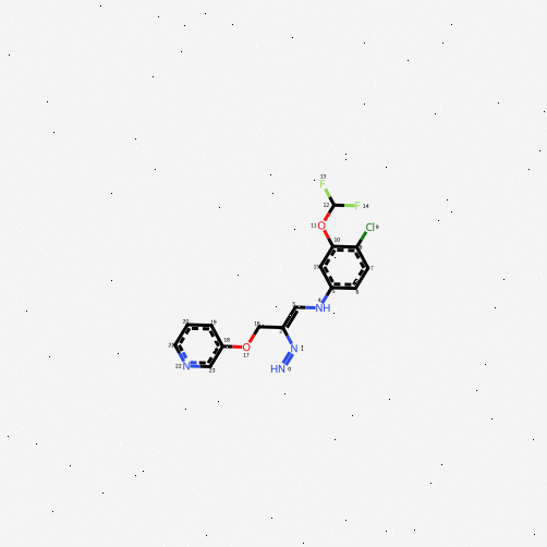 N=N/C(=C\Nc1ccc(Cl)c(OC(F)F)c1)COc1cccnc1